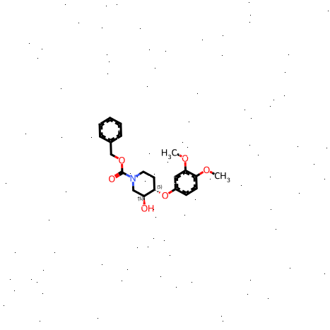 COc1ccc(O[C@H]2CCN(C(=O)OCc3ccccc3)C[C@@H]2O)cc1OC